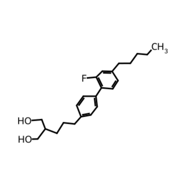 CCCCCc1ccc(-c2ccc(CCCC(CO)CO)cc2)c(F)c1